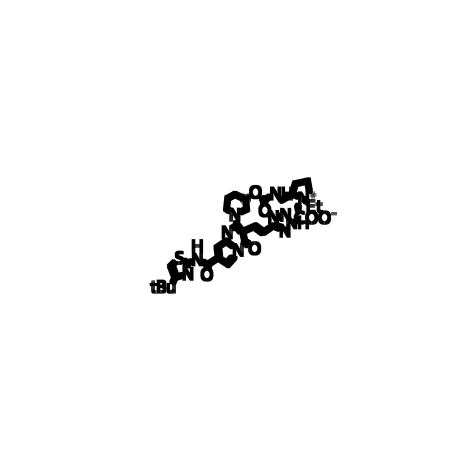 CC[N+]1(CC(=O)[O-])CCCC1CNC(=O)O[C@@H]1CCCN(c2nc3cc(C(=O)Nc4nc(C(C)(C)C)cs4)ccn3c(=O)c2C=Cc2nn[nH]n2)C1